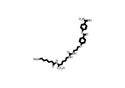 CNCCCCCC(=O)NC(CCCCNC(=O)NCCCOc1ccc(C(=O)Oc2ccc(C(=N)N)cc2)cc1)C(=O)O